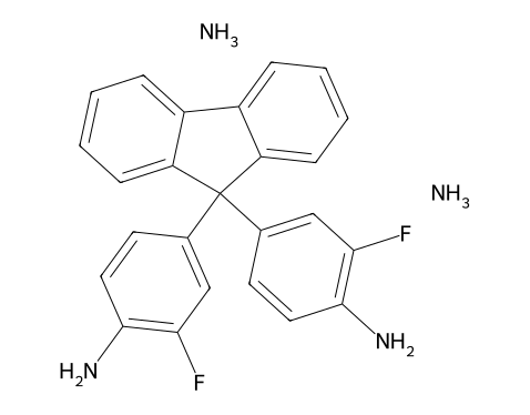 N.N.Nc1ccc(C2(c3ccc(N)c(F)c3)c3ccccc3-c3ccccc32)cc1F